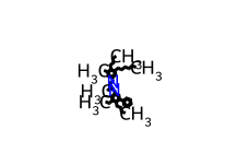 CCCCCCc1cc(N=CC(C)=Nc2cc(CC)c(CCCC)c(-c3ccccc3)c2)cc(C)c1CCCC